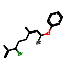 C=C(C)C(Br)CCC(C)=CC(CC)Oc1ccccc1